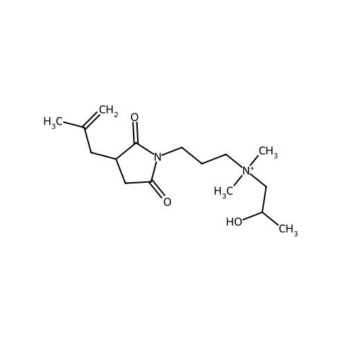 C=C(C)CC1CC(=O)N(CCC[N+](C)(C)CC(C)O)C1=O